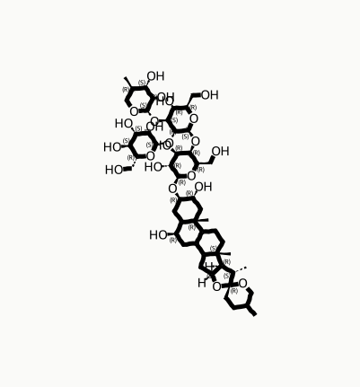 CC1CC[C@@]2(OC1)O[C@H]1CC3C4C[C@@H](O)C5C[C@@H](O[C@@H]6O[C@H](CO)[C@H](O[C@@H]7O[C@H](CO)[C@@H](O)[C@H](O[C@@H]8OC[C@@H](C)[C@H](O)[C@H]8O)[C@H]7O[C@@H]7O[C@H](CO)[C@@H](O)[C@H](O)[C@H]7O)[C@H](O)[C@H]6O)[C@H](O)C[C@]5(C)C4CC[C@]3(C)[C@H]1[C@@H]2C